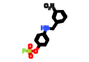 O=[N+]([O-])c1cccc(CNc2ccc(OS(=O)(=O)F)cc2)c1